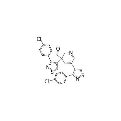 O=CC1(c2csnc2-c2ccc(Cl)cc2)C=C(c2csnc2-c2ccc(Cl)cc2)C=NC1